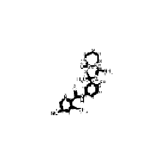 Cc1cc(C#N)cnc1C(=O)Nc1ccc(F)c([C@]2(C)C[S@]3(=O)=NCCCCN3C(N)=N2)c1